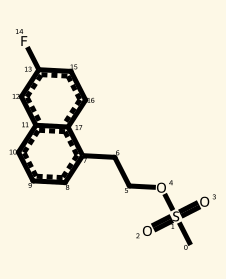 CS(=O)(=O)OCCc1cccc2cc(F)ccc12